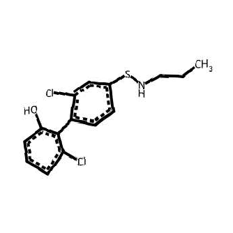 CCCNSc1ccc(-c2c(O)cccc2Cl)c(Cl)c1